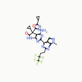 Cn1ncc2c(-c3nc(N)c4c(n3)NC(=O)C4(c3nnc(C4CC4)o3)C3CC3)nc(CCC(F)(F)C(F)(F)F)nc21